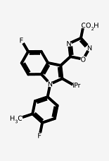 Cc1cc(-n2c(C(C)C)c(-c3nc(C(=O)O)no3)c3cc(F)ccc32)ccc1F